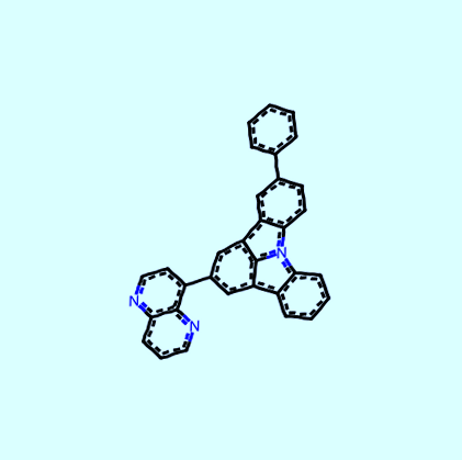 c1ccc(-c2ccc3c(c2)c2cc(-c4ccnc5cccnc45)cc4c5ccccc5n3c42)cc1